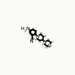 N#Cc1cc(N)ccc1N1CCC(N2CCOCC2)CC1